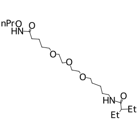 CCCONC(=O)CCCCOCCOCCOCCCCCNC(=O)C(CC)CC